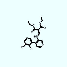 CCOC(=O)C(=CNc1cnccc1-c1cccc(Cl)c1Cl)C(=O)OCC